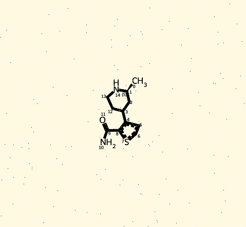 C[C@H]1CC(c2ccsc2C(N)=O)CCN1